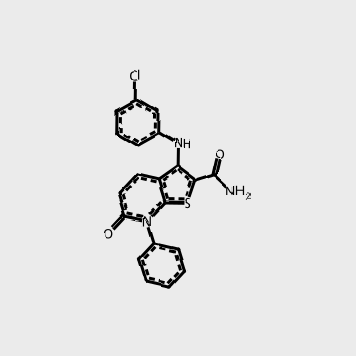 NC(=O)c1sc2c(ccc(=O)n2-c2ccccc2)c1Nc1cccc(Cl)c1